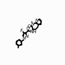 Cc1cccc(Cn2cc(F)c(C(=O)N[C@@H]3CCc4cccnc4N(C)C3=O)n2)c1